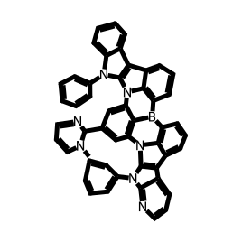 CN1C=CC=NC1c1cc2c3c(c1)-n1c4c(cccc4c4c5cccnc5n(-c5ccccc5)c41)B3c1cccc3c4c5ccccc5n(-c5ccccc5)c4n-2c13